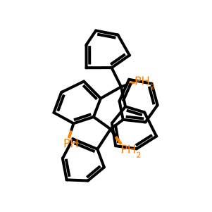 [PH]c1cccc(C(P)(c2ccccc2)c2ccccc2)c1C(P)(c1ccccc1)c1ccccc1